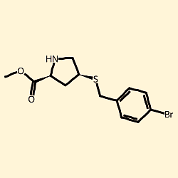 COC(=O)[C@@H]1C[C@H](SCc2ccc(Br)cc2)CN1